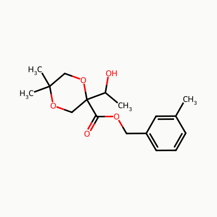 Cc1cccc(COC(=O)C2(C(C)O)COC(C)(C)CO2)c1